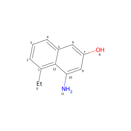 CCc1cccc2cc(O)cc(N)c12